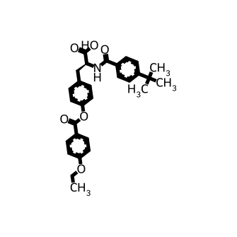 CCOc1ccc(C(=O)Oc2ccc(C[C@H](NC(=O)c3ccc(C(C)(C)C)cc3)C(=O)O)cc2)cc1